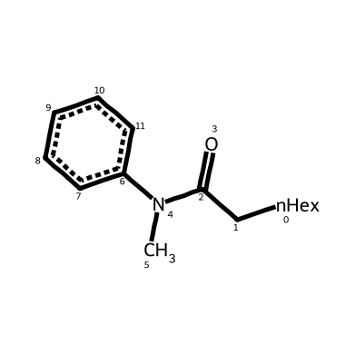 CCCCCCCC(=O)N(C)c1ccccc1